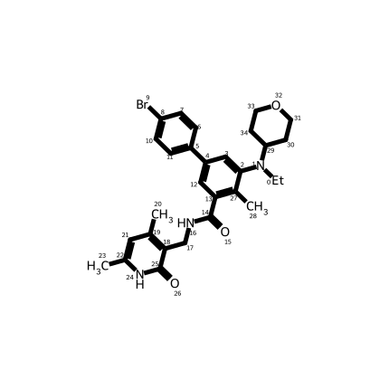 CCN(c1cc(-c2ccc(Br)cc2)cc(C(=O)NCc2c(C)cc(C)[nH]c2=O)c1C)C1CCOCC1